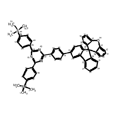 C[Si](C)(C)c1ccc(-c2nc(-c3ccc(-c4ccc5c(c4)-c4ccccc4C54c5ccccc5Oc5ccccc54)cc3)nc(-c3ccc([Si](C)(C)C)cc3)n2)cc1